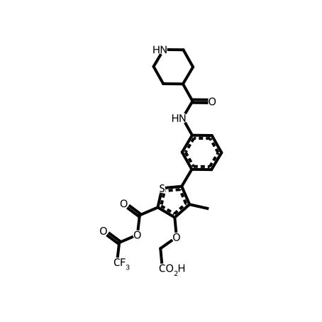 Cc1c(-c2cccc(NC(=O)C3CCNCC3)c2)sc(C(=O)OC(=O)C(F)(F)F)c1OCC(=O)O